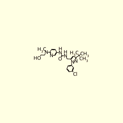 CN(CCO)c1ccc(NC(=O)NCc2cc(C(C)(C)C)nn2-c2cccc(Cl)c2)cn1